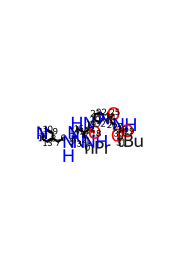 CCCNc1nc(NCCc2ccncc2)ncc1C(=O)NC1CCN(C(=O)CNC(=O)OC(C)(C)C)C1